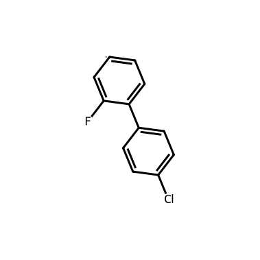 Fc1c[c]ccc1-c1ccc(Cl)cc1